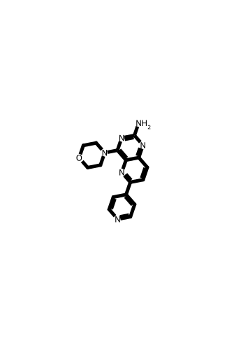 Nc1nc(N2CCOCC2)c2nc(-c3ccncc3)ccc2n1